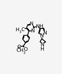 COC(=O)c1ccc(-c2nc(Nc3cnn(C4CNC4)c3)ncc2C)cc1